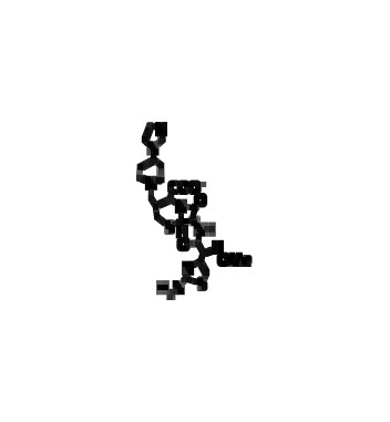 CON=C(C(=O)N[C@@H]1C(=O)N2C(C(=O)[O-])=C(C[n+]3ccc(-n4ccnc4)cc3)CS[C@@H]12)c1csc(N)n1